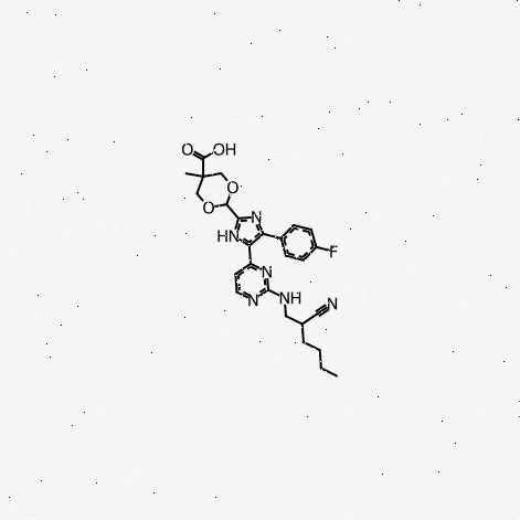 CCCCC(C#N)CNc1nccc(-c2[nH]c(C3OCC(C)(C(=O)O)CO3)nc2-c2ccc(F)cc2)n1